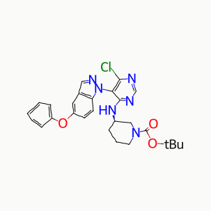 CC(C)(C)OC(=O)N1CCC[C@@H](Nc2ncnc(Cl)c2-n2ncc3cc(Oc4ccccc4)ccc32)C1